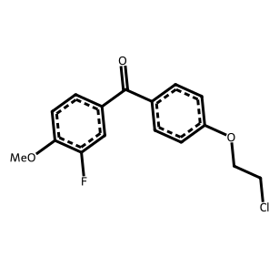 COc1ccc(C(=O)c2ccc(OCCCl)cc2)cc1F